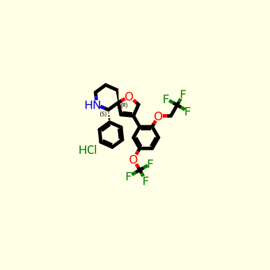 Cl.FC(F)(F)COc1ccc(OC(F)(F)F)cc1C1=C[C@@]2(CCCN[C@H]2c2ccccc2)OC1